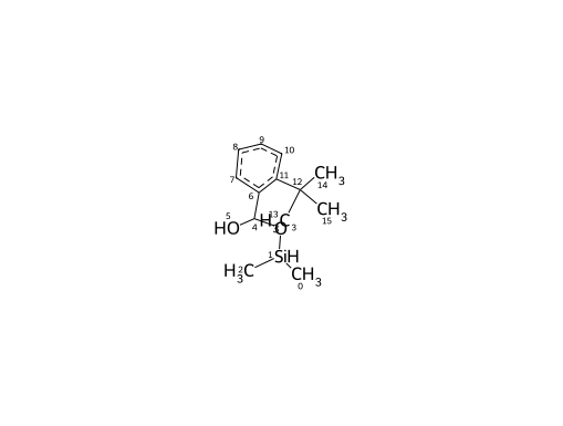 C[SiH](C)OC(O)c1ccccc1C(C)(C)C